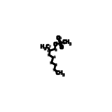 CCCCCCC(C)COS(C)(=O)=O